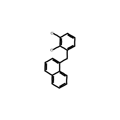 Clc1cccc(Cc2cccc3ccccc23)c1Cl